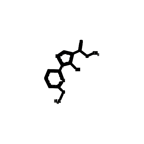 COC(=O)c1cnn(-c2cccc(OC)n2)c1S